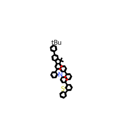 CC(C)(C)c1ccc(-c2ccc3c(c2)C(C)(C)c2ccc(-c4ccccc4N(c4ccc(-c5cccc6c5sc5ccccc56)cc4)c4ccccc4-c4ccccc4)cc2-3)cc1